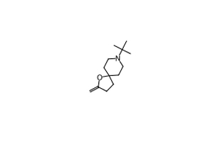 C=C1CCC2(CCN(C(C)(C)C)CC2)O1